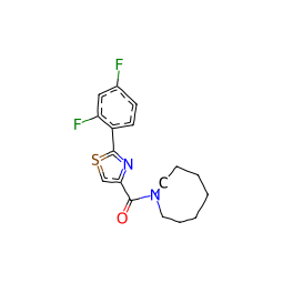 O=C(c1csc(-c2ccc(F)cc2F)n1)N1CCCCCCC1